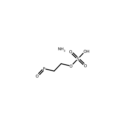 N.O=PCCOS(=O)(=O)O